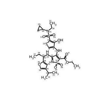 CCOC(=O)C1=C(Nc2csc(S(=O)(=O)N(CC)C3CC3)c2O)C(N[C@H](CC)c2cc(C(C)C)co2)=NS1(=O)=O